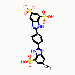 Cc1cc(S(=O)(=O)O)c2[nH]c(-c3ccc(-c4nc5cc(S(=O)(=O)O)cc(S(=O)(=O)O)c5[nH]4)cc3)nc2c1